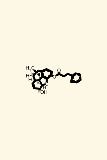 CN1CC[C@]23c4c5ccc(OC(=O)CCc6ccccc6)c4O[C@H]2[C@@H](O)C=C[C@H]3[C@H]1C5